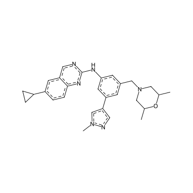 CC1CN(Cc2cc(Nc3ncc4cc(C5CC5)ccc4n3)cc(-c3cnn(C)c3)c2)CC(C)O1